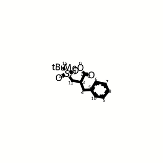 COC(=O)C(Cc1ccccc1)CS(=O)(=O)C(C)(C)C